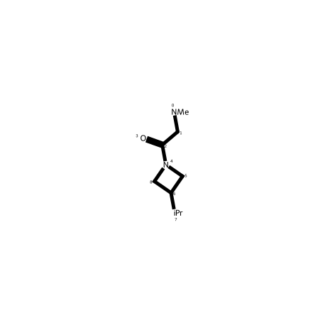 CNCC(=O)N1CC(C(C)C)C1